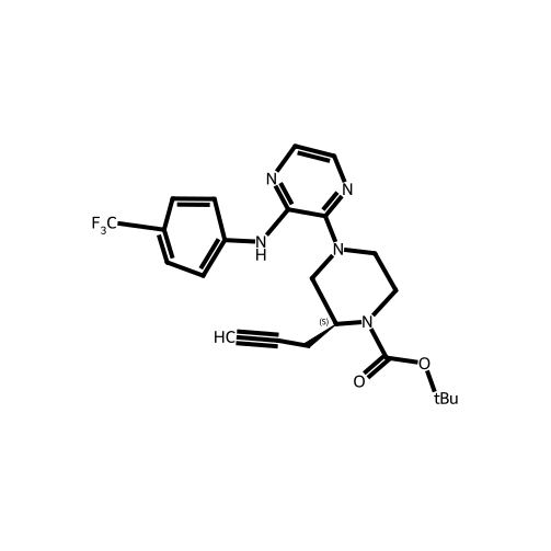 C#CC[C@H]1CN(c2nccnc2Nc2ccc(C(F)(F)F)cc2)CCN1C(=O)OC(C)(C)C